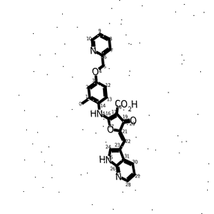 Cc1cc(OCc2ccccn2)ccc1NC1=C(C(=O)O)C(=O)/C(=C/c2c[nH]c3ncccc23)O1